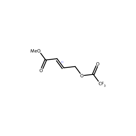 COC(=O)/C=C/COC(=O)C(F)(F)F